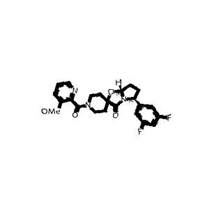 COc1cccnc1C(=O)N1CCC2(CC1)O[C@@H]1CC[C@@H](c3cc(F)cc(F)c3)N1C2=O